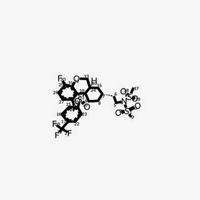 CS(=O)(=O)N(CC[C@@H]1CC[C@@]2(S(=O)(=O)c3ccc(C(F)(F)F)cc3)c3c(F)ccc(F)c3OC[C@H]2C1)S(C)(=O)=O